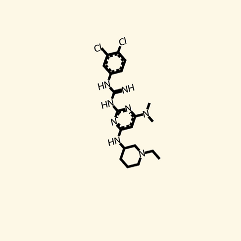 CCN1CCCC(Nc2cc(N(C)C)nc(NC(=N)Nc3ccc(Cl)c(Cl)c3)n2)C1